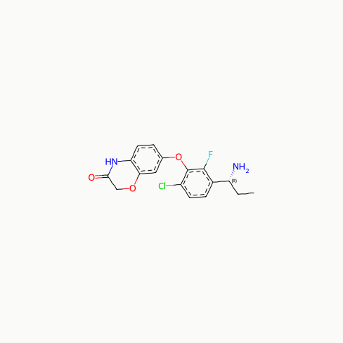 CC[C@@H](N)c1ccc(Cl)c(Oc2ccc3c(c2)OCC(=O)N3)c1F